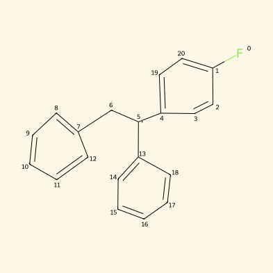 Fc1ccc([C](Cc2ccccc2)c2ccccc2)cc1